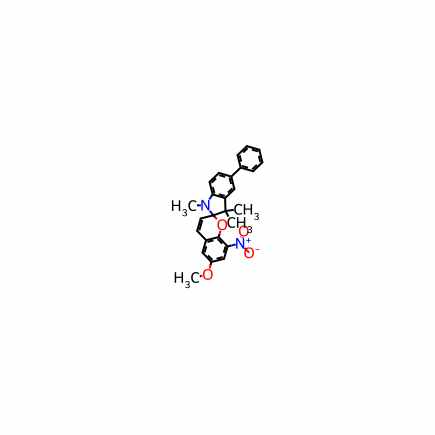 COc1cc2c(c([N+](=O)[O-])c1)OC1(C=C2)N(C)c2ccc(-c3ccccc3)cc2C1(C)C